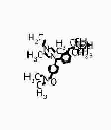 C=CCN1C[C@H](C)N([C@@H](c2ccc(C(=O)N(CC)CC)cc2)c2cccc(CC(C)(C)[Si](C)(C)O)c2)C[C@H]1C